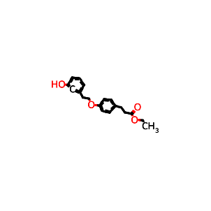 CCOC(=O)CCc1ccc(OCCc2cccc(O)c2)cc1